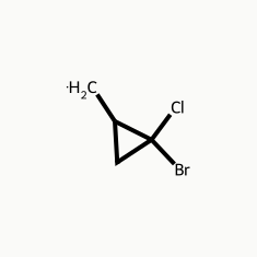 [CH2]C1CC1(Cl)Br